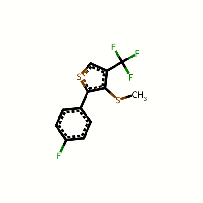 CSc1c(C(F)(F)F)csc1-c1ccc(F)cc1